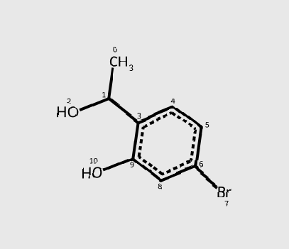 CC(O)c1ccc(Br)cc1O